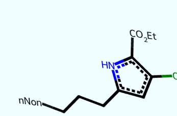 CCCCCCCCCCCCc1cc(Cl)c(C(=O)OCC)[nH]1